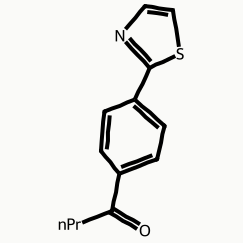 CCCC(=O)c1ccc(-c2nccs2)cc1